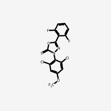 Fc1cccc(F)c1-c1nn(-c2c(Cl)cc(OC(F)(F)F)cc2Cl)c(=S)o1